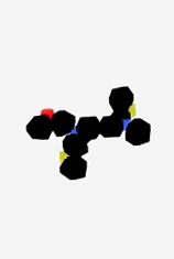 c1ccc(-n2c3ccc(-c4ccc5c(c4)c4cc6c(cc4n5-c4ccc5oc7ccccc7c5c4)sc4ccccc46)cc3c3c4ccccc4sc32)cc1